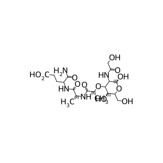 C[C@@H](NC(=O)[C@@H](C)OC1C(NC(=O)CO)[C@@H](O)OC(CO)[C@H]1O)C(=O)NC(CCC(=O)O)C(N)=O